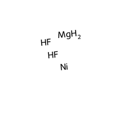 F.F.[MgH2].[Ni]